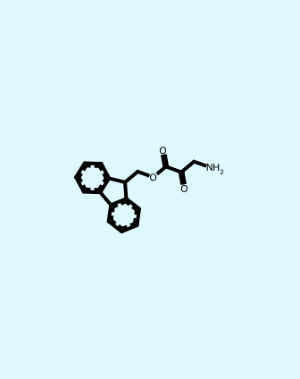 NCC(=O)C(=O)OCC1c2ccccc2-c2ccccc21